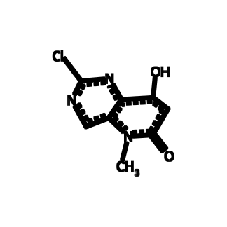 Cn1c(=O)cc(O)c2nc(Cl)ncc21